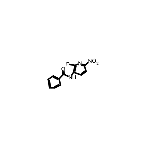 O=C(Nc1ccc([N+](=O)[O-])nc1F)c1ccccc1